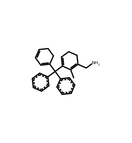 CC1=C(CN)CCC=C1C(C1=CC=CCC1)(c1ccccc1)c1ccccc1